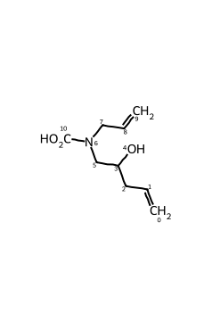 C=CCC(O)CN(CC=C)C(=O)O